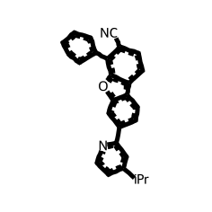 CC(C)c1ccnc(-c2ccc3c(c2)oc2c(-c4ccccc4)c(C#N)ccc23)c1